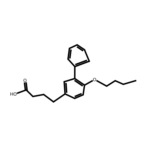 CCCCOc1ccc(CCCC(=O)O)cc1-c1ccccc1